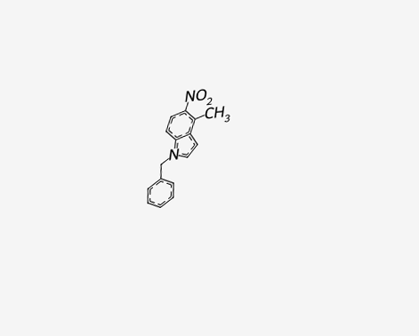 Cc1c([N+](=O)[O-])ccc2c1ccn2Cc1ccccc1